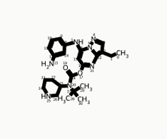 CCc1cnn2c(Nc3cccc(N)c3)cc(OC(=O)N(C3CCCNC3)C(C)(C)C)nc12